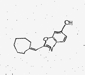 Oc1ccc2nc(C=C3CCCCCC3)oc2c1